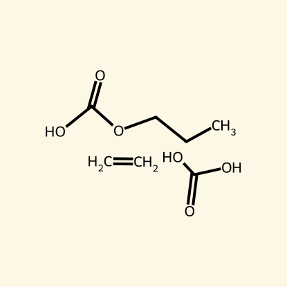 C=C.CCCOC(=O)O.O=C(O)O